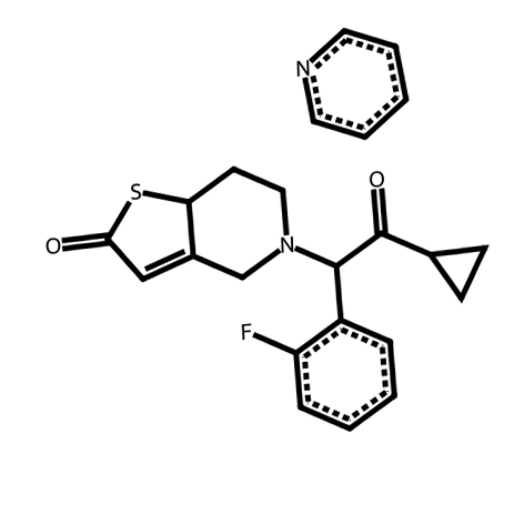 O=C1C=C2CN(C(C(=O)C3CC3)c3ccccc3F)CCC2S1.c1ccncc1